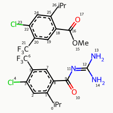 CC(C)c1cc(Cl)c(C(F)(F)F)cc1C(=O)N=C(N)N.COC(=O)c1cc(C(F)(F)F)c(Cl)cc1C(C)C